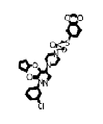 O=c1c(OC2CCCC2)c(N2CCN(S(=O)(=O)CSc3ccc4c(c3)OCO4)CC2)cnn1-c1cccc(Cl)c1